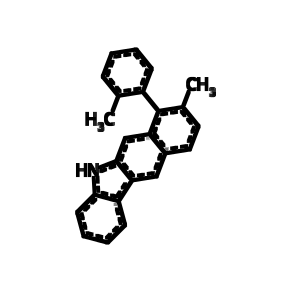 Cc1ccccc1-c1c(C)ccc2cc3c(cc12)[nH]c1ccccc13